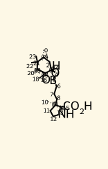 C[C@@H]1C[C@@H]2OB(CCC[C@]3(C)CCN[C@@H]3C(=O)O)O[C@]2(C)[C@H](C)C1(C)C